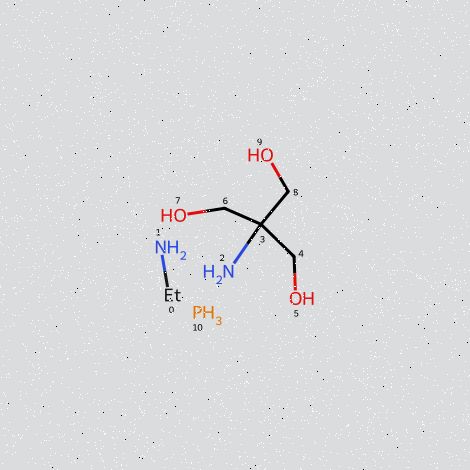 CCN.NC(CO)(CO)CO.P